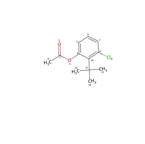 CC(=O)Oc1cccc(Cl)c1C(C)(C)C